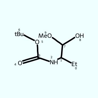 CCC(NC(=O)OC(C)(C)C)C(O)OC